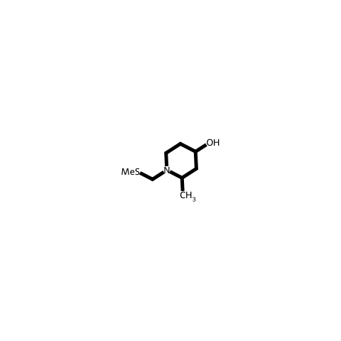 CSCN1CCC(O)CC1C